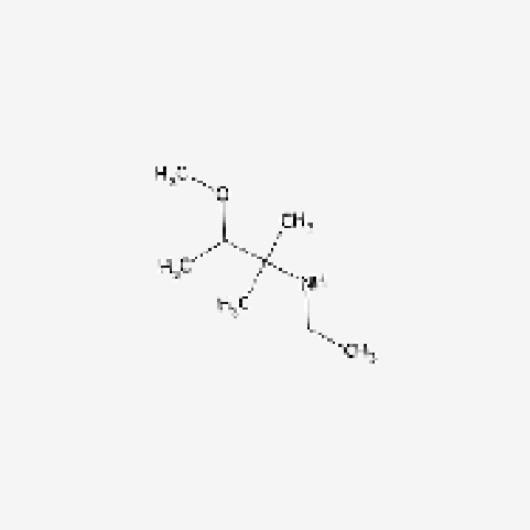 CCNC(C)(C)C(C)OC